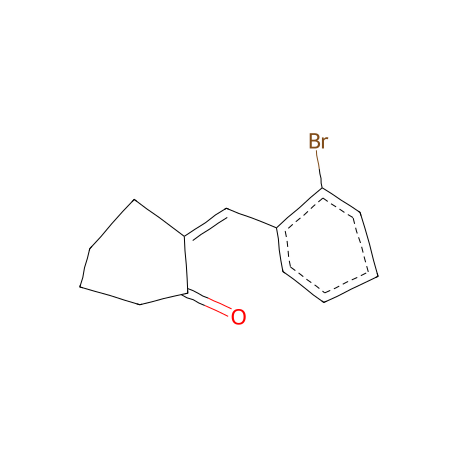 O=C1CCCCC1=Cc1ccccc1Br